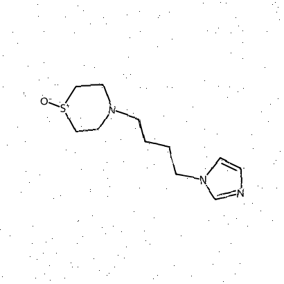 [O-][S+]1CCN(CCCCn2c[c]nc2)CC1